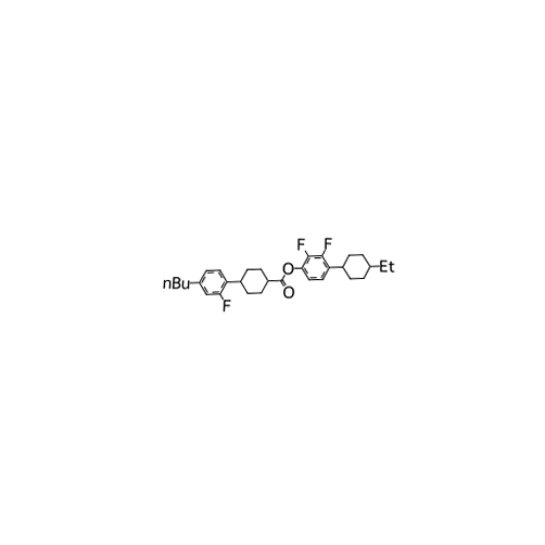 CCCCc1ccc(C2CCC(C(=O)Oc3ccc(C4CCC(CC)CC4)c(F)c3F)CC2)c(F)c1